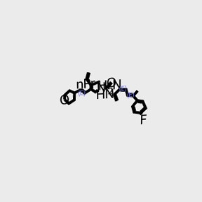 C=CC1=C(/C=C(\CCC)C2CCOCC2)CN(C(=O)NC(=C)/C(N)=C\C=C(/C)c2ccc(F)cc2)C1